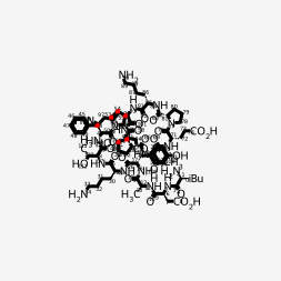 CC[C@H](C)[C@H](N)C(=O)N[C@@H](CC(=O)O)C(=O)N[C@@H](C)C(=O)N[C@@H](Cc1ccc(O)cc1)C(=O)N[C@@H](CCCCN)C(=O)N[C@H](C(=O)N[C@@H](Cc1ccccc1)C(=O)N1CCC[C@H]1C(=O)N1CCC[C@H]1C(=O)N[C@H](C(=O)N[C@@H](CCC(=O)O)C(=O)N1CCC[C@H]1C(=O)N[C@@H](CCCCN)C(=O)N[C@@H](CCCCN)C(=O)N[C@@H](CC(=O)O)C(=O)O)[C@@H](C)O)[C@@H](C)O